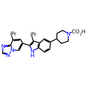 CC(C)c1c(-c2cc(C(C)C)c3ncnn3c2)[nH]c2ccc(C3CCN(C(=O)O)CC3)cc12